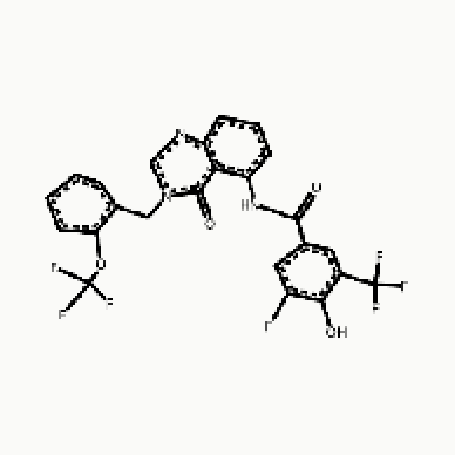 O=C(Nc1cccc2ncn(Cc3ccccc3OC(F)(F)F)c(=O)c12)c1cc(F)c(O)c(C(F)(F)F)c1